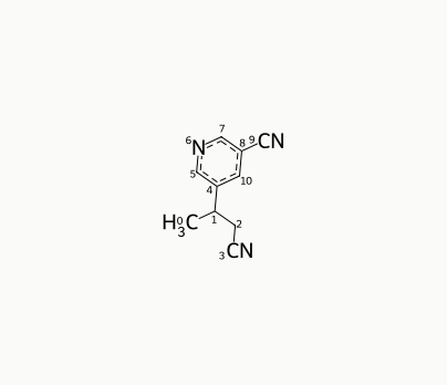 CC(CC#N)c1cncc(C#N)c1